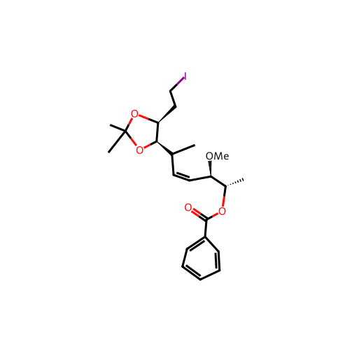 CO[C@H](/C=C\C(C)[C@H]1OC(C)(C)O[C@H]1CCI)[C@H](C)OC(=O)c1ccccc1